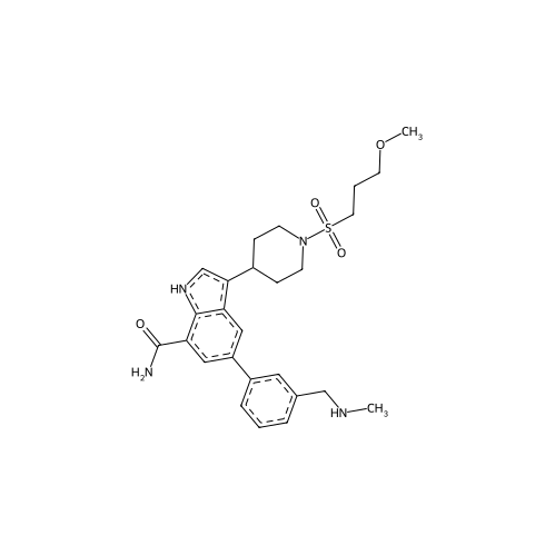 CNCc1cccc(-c2cc(C(N)=O)c3[nH]cc(C4CCN(S(=O)(=O)CCCOC)CC4)c3c2)c1